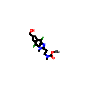 CN(CCc1nc2c(F)c3c(c(F)c2n1C)CC(CO)C3)C(=O)OC(C)(C)C